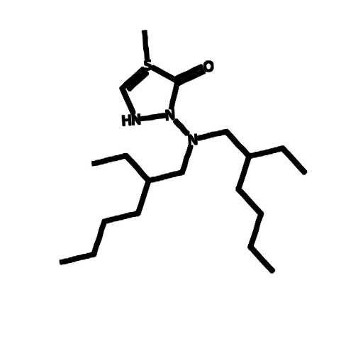 CCCCC(CC)CN(CC(CC)CCCC)N1NC=S(C)C1=O